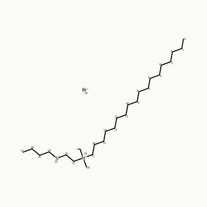 CCCCCCCCCCCCCCCCCC[N+](C)(C)CCSCCCC.[Br-]